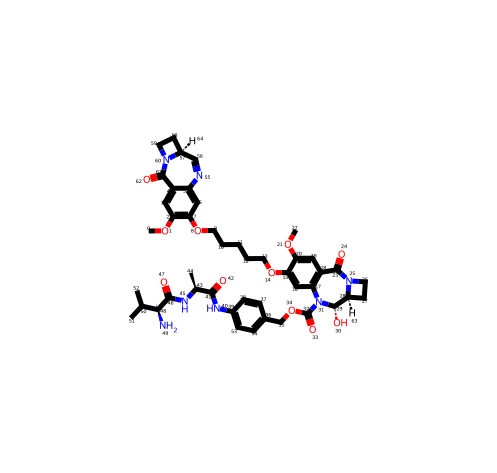 COc1cc2c(cc1OCCCCCOc1cc3c(cc1OC)C(=O)N1CC[C@H]1[C@H](O)N3C(=O)OCc1ccc(NC(=O)[C@H](C)NC(=O)[C@@H](N)C(C)C)cc1)N=C[C@@H]1CCN1C2=O